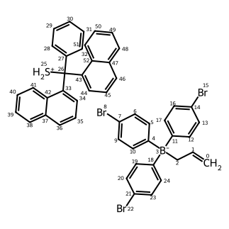 C=CC[B-](c1ccc(Br)cc1)(c1ccc(Br)cc1)c1ccc(Br)cc1.[SH2+]C(c1ccccc1)(c1cccc2ccccc12)c1cccc2ccccc12